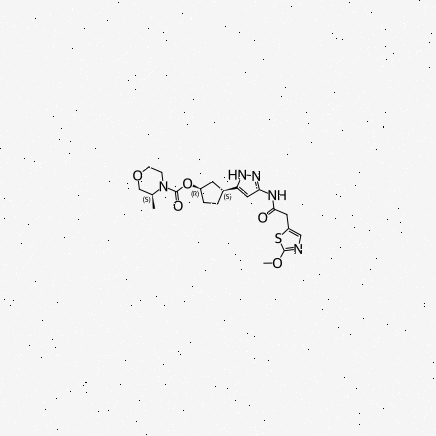 COc1ncc(CC(=O)Nc2cc([C@H]3CC[C@@H](OC(=O)N4CCOC[C@@H]4C)C3)[nH]n2)s1